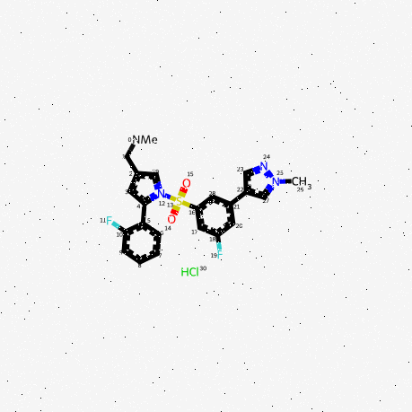 CNCc1cc(-c2ccccc2F)n(S(=O)(=O)c2cc(F)cc(-c3cnn(C)c3)c2)c1.Cl